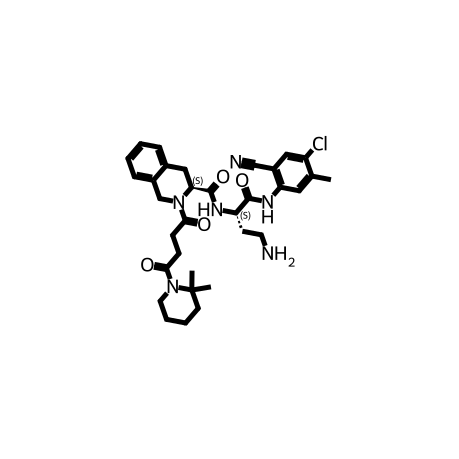 Cc1cc(NC(=O)[C@H](CCN)NC(=O)[C@@H]2Cc3ccccc3CN2C(=O)CCC(=O)N2CCCCC2(C)C)c(C#N)cc1Cl